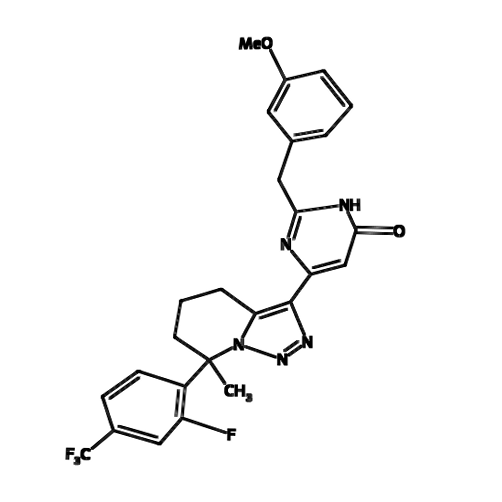 COc1cccc(Cc2nc(-c3nnn4c3CCCC4(C)c3ccc(C(F)(F)F)cc3F)cc(=O)[nH]2)c1